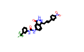 O=C(Nc1cccc(C(F)(F)F)c1)Nc1ccc2c(CC=Cc3ccc([N+](=O)[O-])cc3)n[nH]c(=O)c2c1